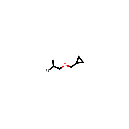 CCC(C)COCC1CC1